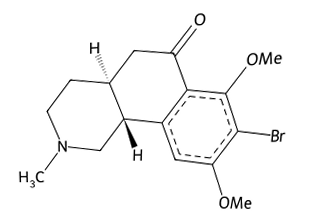 COc1cc2c(c(OC)c1Br)C(=O)C[C@@H]1CCN(C)C[C@@H]21